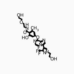 Cc1cc(Oc2nccn3c(-c4cn(CCO)nc4C(F)(F)F)cnc23)cc(O)c1C(=O)NCCOCCO